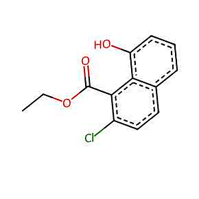 CCOC(=O)c1c(Cl)ccc2cccc(O)c12